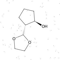 O[C@@H]1CCC[C@H]1C1OCCO1